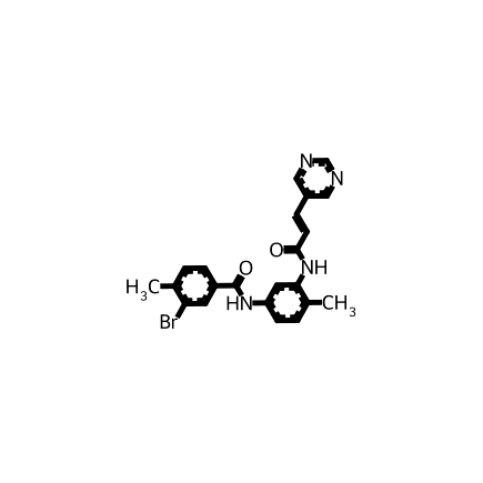 Cc1ccc(C(=O)Nc2ccc(C)c(NC(=O)/C=C/c3cncnc3)c2)cc1Br